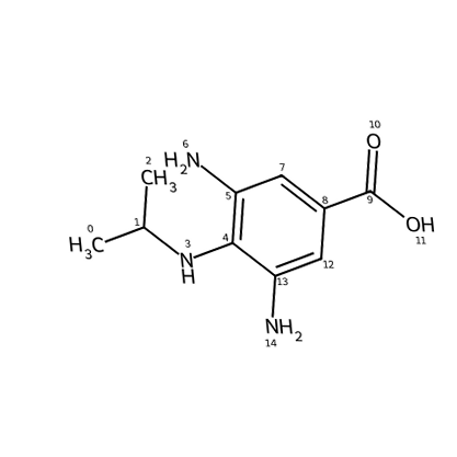 CC(C)Nc1c(N)cc(C(=O)O)cc1N